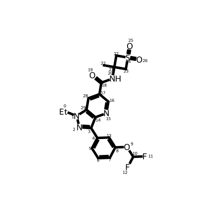 CCn1nc(-c2cccc(OC(F)F)c2)c2ncc(C(=O)NC3(C)CS(=O)(=O)C3)cc21